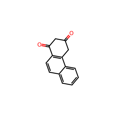 O=C1CC(=O)c2ccc3ccccc3c2C1